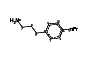 CCCc1ccc(CCCN)cc1